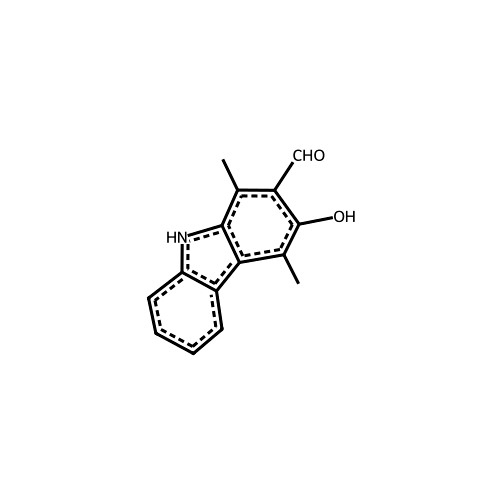 Cc1c(C=O)c(O)c(C)c2c1[nH]c1ccccc12